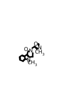 Cc1ncoc1CN1CCc2c(c3ccccc3n2C)C1=O